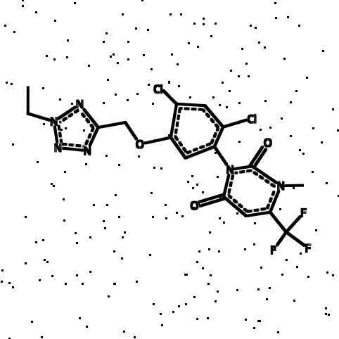 CCn1nnc(COc2cc(-n3c(=O)cc(C(F)(F)F)n(C)c3=O)c(Cl)cc2Cl)n1